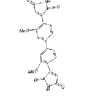 COc1cc(-c2ccc(C3=CC(=O)NC3=O)c(OC)c2)ccc1C1=CC(=O)NC1=O